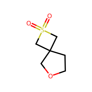 O=S1(=O)CC2(CCOC2)C1